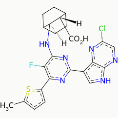 Cc1ccc(-c2nc(-c3c[nH]c4ncc(Cl)nc34)nc(N[C@H]3C4CCC(CC4)[C@@H]3C(=O)O)c2F)s1